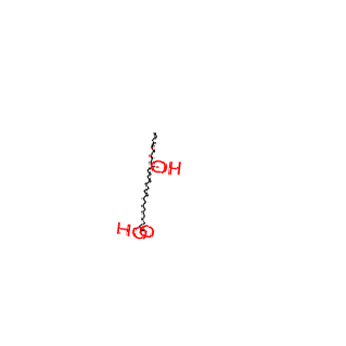 CCCC=CCC=CCC(O)CCCCCCCCCCCCCCCCCC(=O)O